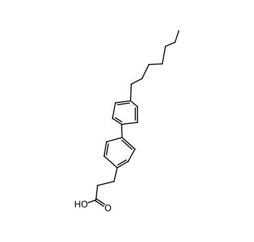 CCCCCCCc1ccc(-c2ccc(CCC(=O)O)cc2)cc1